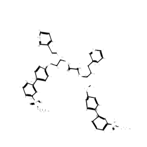 CNS(=O)(=O)c1cccc(-c2ccc(OC[C@@H](CCc3cccnc3)OC(=O)C(=O)O[C@H](CCc3cccnc3)COc3ccc(-c4cccc(S(=O)(=O)NC)c4)cc3)cc2)c1